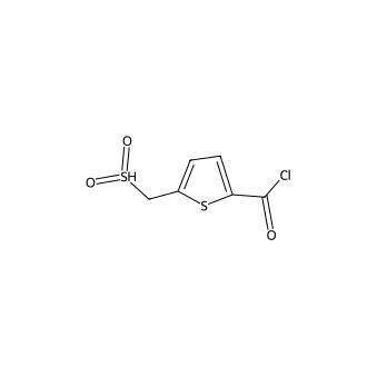 O=C(Cl)c1ccc(C[SH](=O)=O)s1